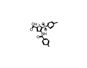 Cc1ccc(C(=O)Nc2cc(C(=O)O)sc2S(=O)(=O)c2ccc(C)cc2)cc1